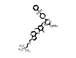 CC(C)(C)OC(=O)N[C@@H](Cc1cc(F)c(Oc2ccnc3c2ccn3COCC[Si](C)(C)C)c(F)c1)C(=O)N1CCC(S(=O)(=O)c2ccccc2)CC1